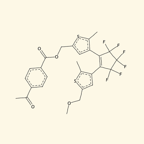 COCc1cc(C2=C(c3cc(COC(=O)c4ccc(C(C)=O)cc4)sc3C)C(F)(F)C(F)(F)C2(F)F)c(C)s1